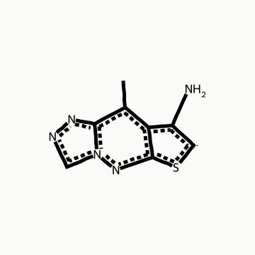 Cc1c2c(N)[c]sc2nn2cnnc12